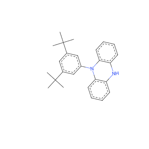 CC(C)(C)c1cc(N2c3ccccc3Nc3ccccc32)cc(C(C)(C)C)c1